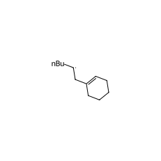 CCCC[CH]CC1=CCCCC1